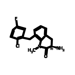 CN1C(=O)[C@H](N)Cc2cccc(Cc3cc(F)ccc3Cl)c21